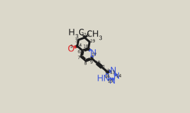 CC1(C)CC(=O)c2ccc(C#Cc3nnn[nH]3)nc2C1